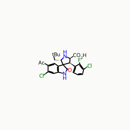 CC(=O)c1cc2c(cc1Cl)NC(=O)C21[C@H](CC(C)(C)C)N[C@@H](C(=O)O)[C@H]1c1cccc(Cl)c1F